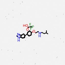 CC(C)CCNCCOc1ccc(-c2ccc3[nH]cnc3c2)cc1.O=C(O)C(F)(F)F